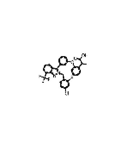 CC(C(=O)O)c1ccccc1Oc1cccc(-c2c3cccc(C(F)(F)F)c3nn2Cc2ccc(Cl)cc2F)c1